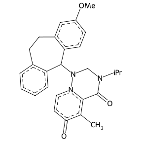 COc1ccc2c(c1)CCc1ccccc1C2N1CN(C(C)C)C(=O)c2c(C)c(=O)ccn21